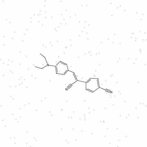 CCN(CC)c1ccc(/C=C(\C#N)c2ccc(C#N)cc2)cc1